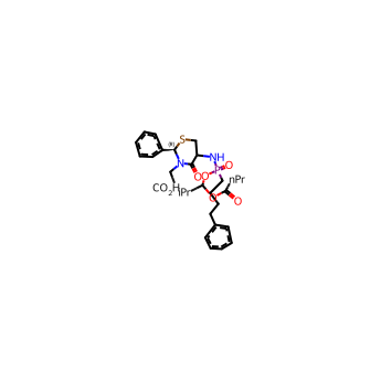 CCCC(=O)OC(OP(=O)(CCCCc1ccccc1)NC1CS[C@H](c2ccccc2)N(CC(=O)O)C1=O)C(C)C